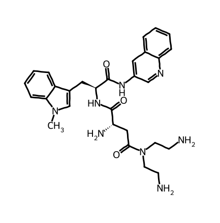 Cn1cc(C[C@H](NC(=O)[C@@H](N)CC(=O)N(CCN)CCN)C(=O)Nc2cnc3ccccc3c2)c2ccccc21